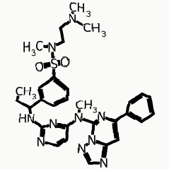 CCC(Nc1nccc(N(C)c2nc(-c3ccccc3)cc3ncnn23)n1)c1cccc(S(=O)(=O)N(C)CCN(C)C)c1